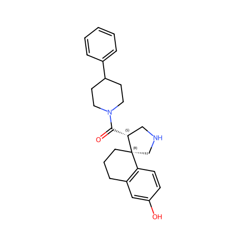 O=C([C@@H]1CNC[C@]12CCCc1cc(O)ccc12)N1CCC(c2ccccc2)CC1